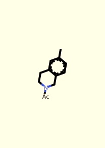 CC(=O)N1CCc2cc(C)ccc2C1